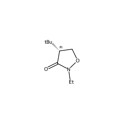 CCN1OC[C@@H](C(C)(C)C)C1=O